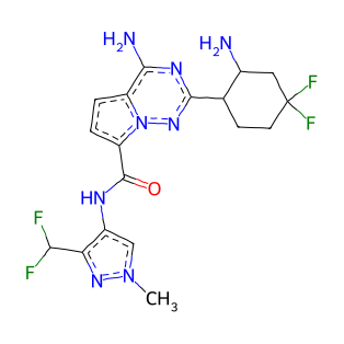 Cn1cc(NC(=O)c2ccc3c(N)nc(C4CCC(F)(F)CC4N)nn23)c(C(F)F)n1